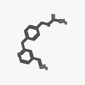 C=Cc1ccnc(Cc2ccc(CSNC)cc2)c1